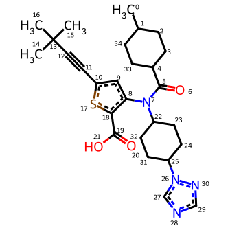 CC1CCC(C(=O)N(c2cc(C#CC(C)(C)C)sc2C(=O)O)C2CCC(n3cncn3)CC2)CC1